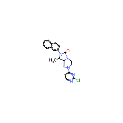 CC1C2CN(c3ccnc(Cl)n3)CCN2C(=O)N1c1ccc2ccccc2c1